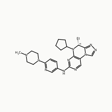 CC[C@@H]1c2nncn2-c2cnc(Nc3ccc(N4CCN(C)CC4)nc3)nc2N1C1CCCC1